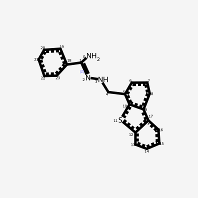 N/C(=N\NCc1cccc2c1sc1ccccc12)c1ccccc1